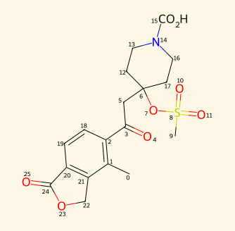 Cc1c(C(=O)CC2(OS(C)(=O)=O)CCN(C(=O)O)CC2)ccc2c1COC2=O